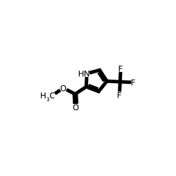 COC(=O)c1cc(C(F)(F)F)c[nH]1